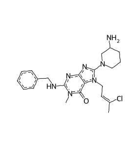 CC(Cl)=CCn1c(N2CCCC(N)C2)nc2nc(NCc3ccccc3)n(C)c(=O)c21